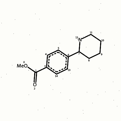 COC(=O)c1ccc(C2CCCC[N]2)cc1